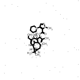 CC1=C[C@]23C(=O)[C@@H](C=C(CO)[C@@H](O)[C@]2(O)[C@H]1OC(=O)c1c(N2CCCCC2)cnn1C)[C@H]1[C@@H](C[C@H]3C)C1(C)C